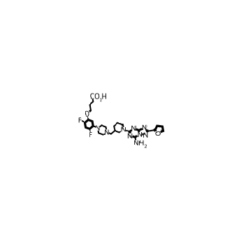 Nc1nc(N2CCCC(CN3CCN(c4cc(OCCCC(=O)O)c(F)cc4F)CC3)C2)nc2nc(-c3ccco3)nn12